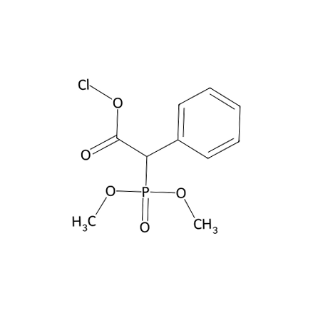 COP(=O)(OC)C(C(=O)OCl)c1ccccc1